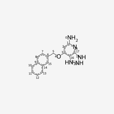 Nc1cc(OCc2ccc3ccccc3c2)c2c(n1)NNN2